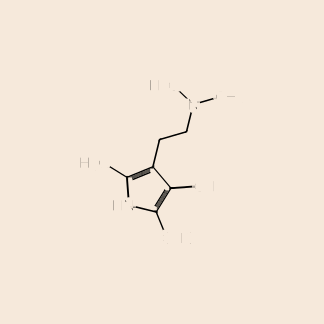 Cc1[nH]c(C=O)c(C)c1CCN(C)C